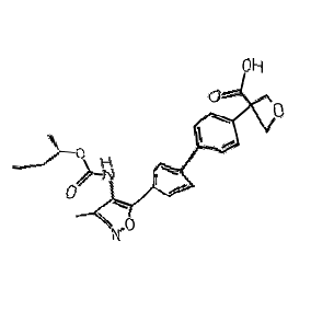 CC[C@@H](C)OC(=O)Nc1c(C)noc1-c1ccc(-c2ccc(C3(C(=O)O)COC3)cc2)cc1